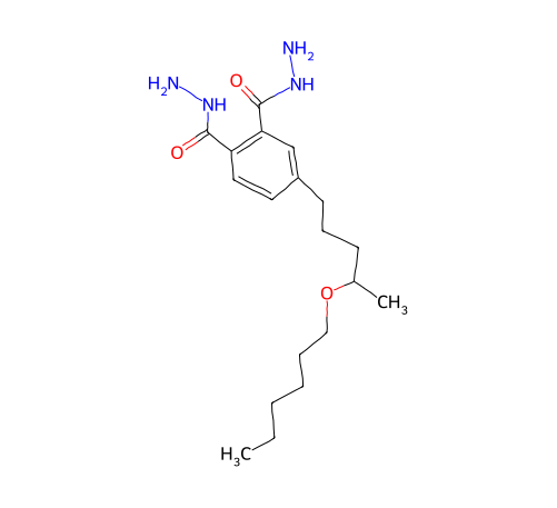 CCCCCCOC(C)CCCc1ccc(C(=O)NN)c(C(=O)NN)c1